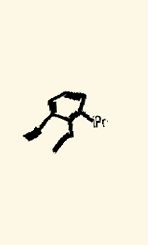 C#Cc1cccc([C](C)C)c1C=C